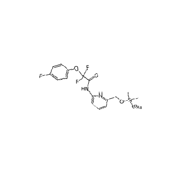 CC(C)(C)[Si](C)(C)OCc1cccc(NC(=O)C(F)(F)Oc2ccc(F)cc2)n1